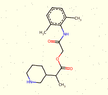 Cc1cccc(C)c1NC(=O)COC(=O)C(C)C1CCCNC1